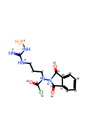 N=C(NP)NCCCN(C(=O)Cl)N1C(=O)c2ccccc2C1=O